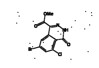 COC(=O)c1n[nH]c(=O)c2c(Cl)cc(Br)cc12